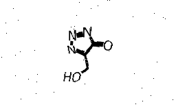 O=C1N=NN=C1CO